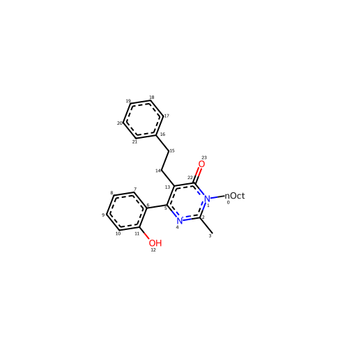 CCCCCCCCn1c(C)nc(-c2ccccc2O)c(CCc2ccccc2)c1=O